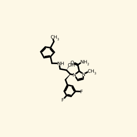 CCc1cccc(CNC[C@H](O)[C@H](Cc2cc(F)cc(F)c2)N2C=CN(C)C2C(N)=O)c1